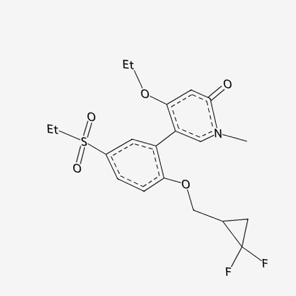 CCOc1cc(=O)n(C)cc1-c1cc(S(=O)(=O)CC)ccc1OCC1CC1(F)F